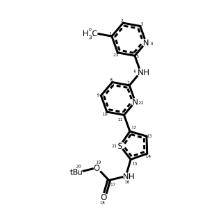 Cc1ccnc(Nc2cccc(-c3ccc(NC(=O)OC(C)(C)C)s3)n2)c1